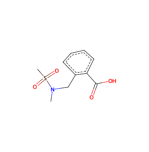 CN(Cc1ccccc1C(=O)O)S(C)(=O)=O